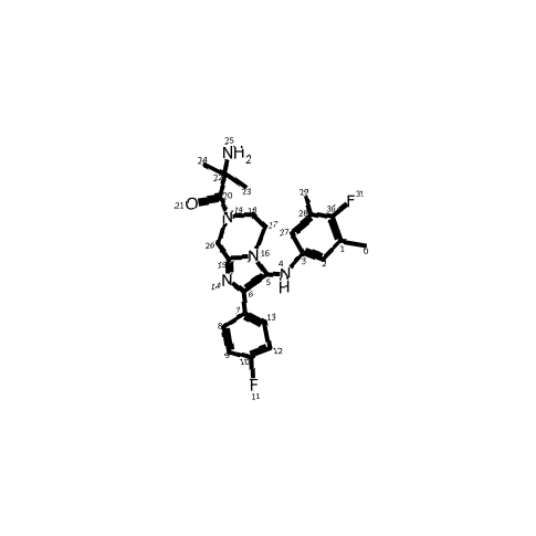 Cc1cc(Nc2c(-c3ccc(F)cc3)nc3n2CCN(C(=O)C(C)(C)N)C3)cc(C)c1F